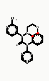 Cc1cc(N(C(=O)N(c2ccccc2)c2ncncn2)N2CCOCC2)ccn1